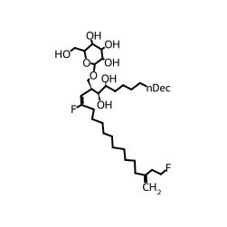 C=C(CCF)CCCCCCCCCC/C(F)=C\[C@@H](COC1OC(CO)C(O)C(O)C1O)[C@H](O)[C@H](O)CCCCCCCCCCCCCC